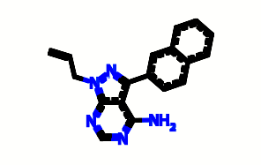 C=CCn1nc(-c2ccc3ccccc3c2)c2c(N)ncnc21